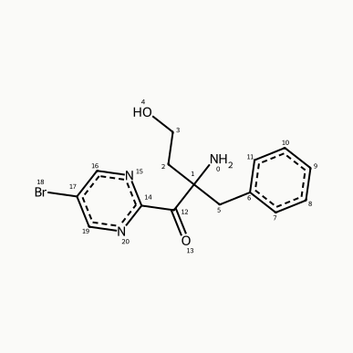 NC(CCO)(Cc1ccccc1)C(=O)c1ncc(Br)cn1